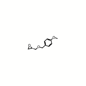 COc1ccc(COC[C@H]2CO2)cc1